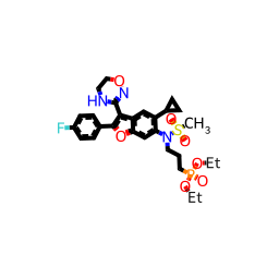 CCOP(=O)(CCCN(c1cc2oc(-c3ccc(F)cc3)c(C3=NOCCN3)c2cc1C1CC1)S(C)(=O)=O)OCC